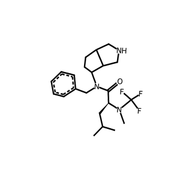 CC(C)C[C@@H](C(=O)N(Cc1ccccc1)C1CCC2CNCC21)N(C)C(F)(F)F